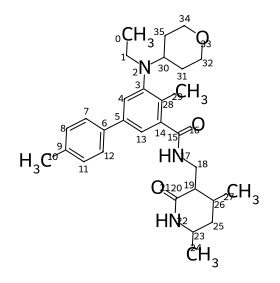 CCN(c1cc(-c2ccc(C)cc2)cc(C(=O)NCC2C(=O)NC(C)CC2C)c1C)C1CCOCC1